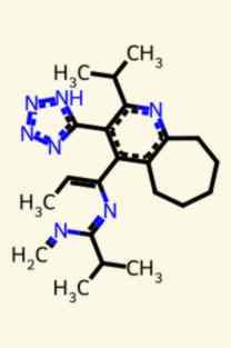 C=N/C(=N\C(=C/C)c1c2c(nc(C(C)C)c1-c1nnn[nH]1)CCCCC2)C(C)C